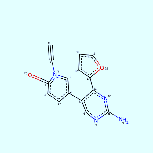 C#Cn1cc(-c2cnc(N)nc2-c2ccco2)ccc1=O